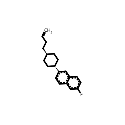 C=CCC[C@H]1CC[C@H](c2ccc3cc(F)ccc3c2)CC1